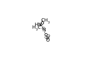 Cc1ccc2c(C3=CCN(CCc4cc5c6c(c4)CCC(=O)N6CCC5)CC3)c(C)[nH]c2c1